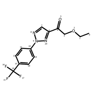 CCOCC(=O)c1cnn(-c2ccc(C(F)(F)F)cc2)n1